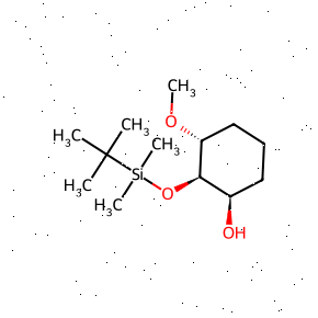 CO[C@@H]1CCC[C@@H](O)[C@H]1O[Si](C)(C)C(C)(C)C